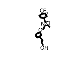 Cc1oc(-c2ccc(C(F)(F)F)cc2)nc1COc1cccc(C=CCO)c1